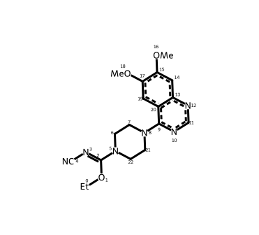 CCOC(=NC#N)N1CCN(c2ncnc3cc(OC)c(OC)cc23)CC1